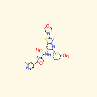 Cc1cc(-c2nc(C(O)Nc3cc4sc(N5CCOCC5)nc4nc3N3CCC[C@@H](O)C3)co2)ccn1